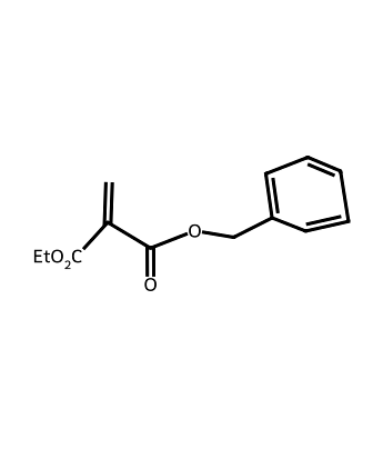 C=C(C(=O)OCC)C(=O)OCc1ccccc1